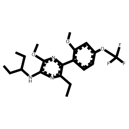 CCc1nc(NC(CC)CC)c(OC)nc1-c1ccc(OC(F)(F)F)cc1OC